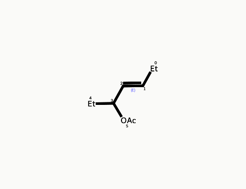 CC/C=C/C(CC)OC(C)=O